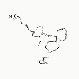 CCCC=Cc1ccc(C#CC2(C3CCC(CCC)CC3)C=CC=CC2)c(F)c1